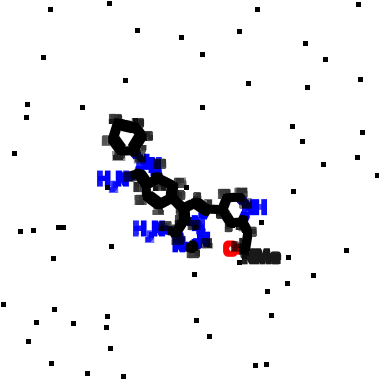 CNC(=O)CC1CC(c2cc(-c3ccc4c(N)n(-c5ccccc5)nc4c3)c3c(N)ncnn23)CCN1